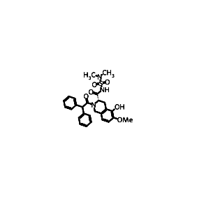 COc1ccc2c(c1O)C[C@@H](C(=O)NS(=O)(=O)N(C)C)N(C(=O)C(c1ccccc1)c1ccccc1)C2